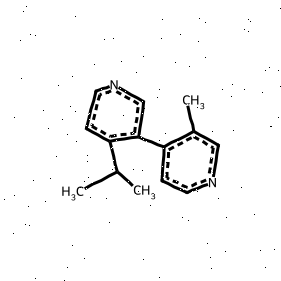 Cc1cnccc1-c1cnccc1C(C)C